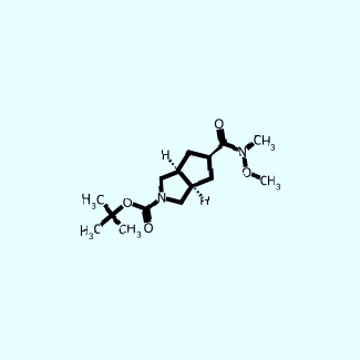 CON(C)C(=O)[C@@H]1C[C@@H]2CN(C(=O)OC(C)(C)C)C[C@@H]2C1